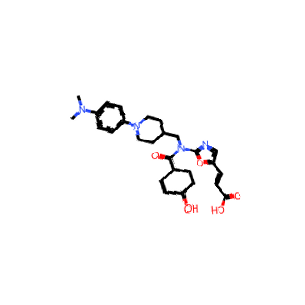 CN(C)c1ccc(N2CCC(CN(C(=O)C3CCC(O)CC3)c3ncc(C=CC(=O)O)o3)CC2)cc1